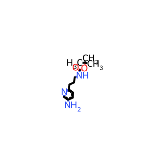 CC(C)(C)OC(=O)NCCCc1ccc(N)cn1